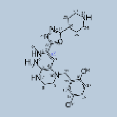 CN/C(=C\C1=C(N)NCCN1Cc1cc(Cl)ccc1Cl)c1nnc(C2CCNCC2)o1